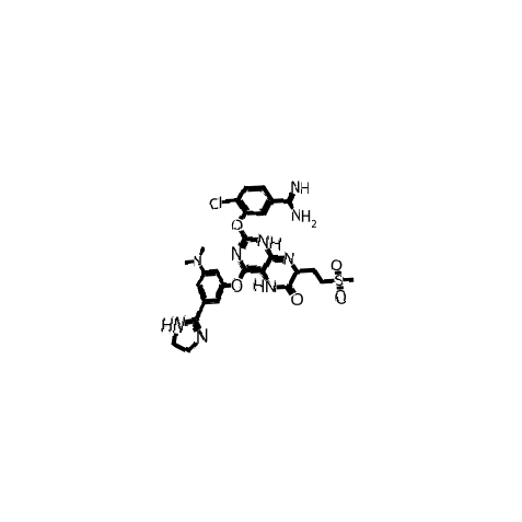 CN(C)c1cc(OC2=C3NC(=O)C(CCS(C)(=O)=O)N=C3NC(Oc3cc(C(=N)N)ccc3Cl)=N2)cc(C2=NCCN2)c1